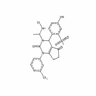 CCNC(C)N1C(=O)N(c2cccc(C(F)(F)F)c2)C2=C(C(=O)CC2)C1c1ccc(C#N)cc1S(C)(=O)=O